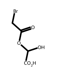 O=C(CBr)OC(O)C(=O)O